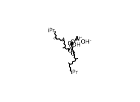 CC(C)CCCC(C)CCCC(C)CCOCC(COP(=O)(O)OCC[N+](C)(C)C)OCCC(C)CCC[C@H](C)CCC[C@H](C)CCCC(C)C.[OH-]